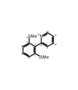 CSc1cccc(SC)c1-c1ccccn1